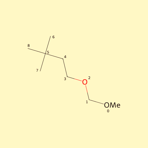 COCOCCC(C)(C)C